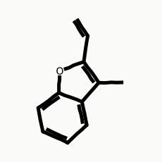 C=Cc1oc2ccccc2c1C